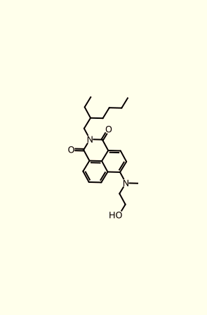 CCCCC(CC)CN1C(=O)c2cccc3c(N(C)CCO)ccc(c23)C1=O